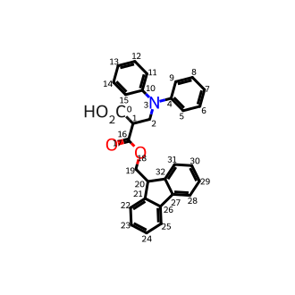 O=C(O)C(CN(c1ccccc1)c1ccccc1)C(=O)OCC1c2ccccc2-c2ccccc21